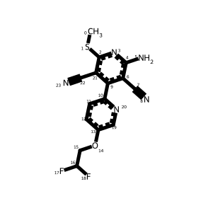 CSc1nc(N)c(C#N)c(-c2ccc(OCC(F)F)cn2)c1C#N